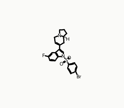 O=S(=O)(c1ccc(Br)cc1)n1cc(C2=CCN3CCC[C@H]3C2)c2cc(F)ccc21